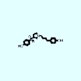 O=S(=O)(c1ccc(O)cc1)C1CCN(CCCCc2ccc(O)cc2)C1